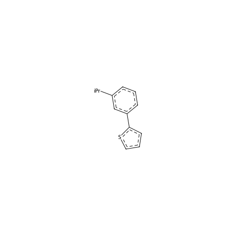 CC(C)c1cccc(-c2cccs2)c1